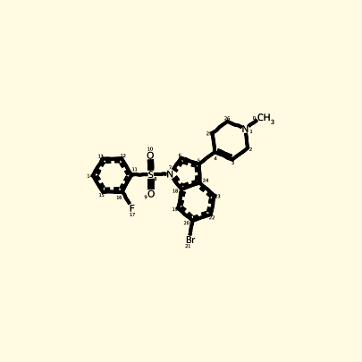 CN1CC=C(c2cn(S(=O)(=O)c3ccccc3F)c3cc(Br)ccc23)CC1